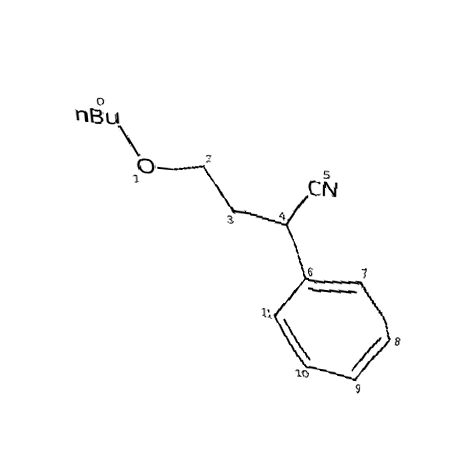 CCCCOCCC(C#N)c1ccccc1